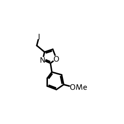 COc1cccc(-c2nc(CI)co2)c1